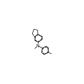 Cc1ccc(N(C)c2ccc3c(c2)CCC3)cc1